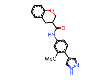 COc1cc(NC(=O)C2COc3ccccc3C2)ccc1-c1cn[nH]c1